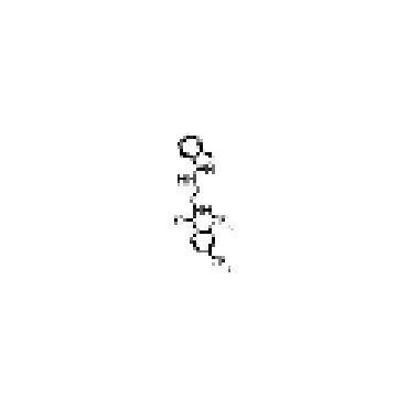 O=C(NCCNc1nsc2ccccc12)c1ccc(C(F)(F)F)cc1C(F)(F)F